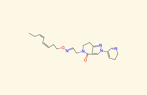 CC/C=C\C=C/CCO/N=C/CN1CCc2nn(C3=CCCN=C3)cc2C1=O